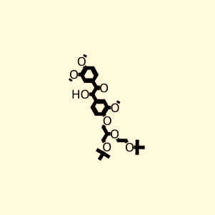 COc1ccc(C(=O)C(O)c2ccc(OCC(COC(C)(C)C)OCCOC(C)(C)C)c(OC)c2)cc1OC